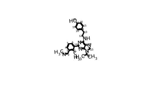 C/N=C\c1cccc(-c2nc(NCCc3ccc(O)cc3)c3ncn(C(C)C)c3n2)c1C